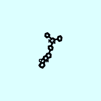 c1ccc(-c2cc(-c3ccccc3)nc(-c3ccc(-c4ccc5nc6c(cc5c4)oc4ccccc46)cc3)n2)cc1